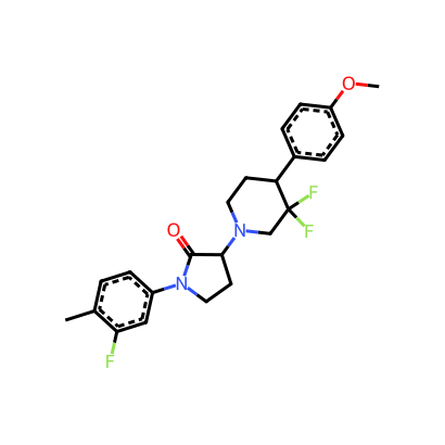 COc1ccc(C2CCN(C3CCN(c4ccc(C)c(F)c4)C3=O)CC2(F)F)cc1